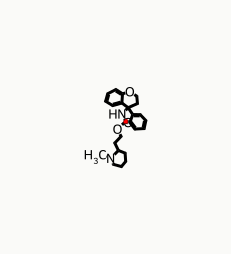 CN1CCCCC1CCOC(=O)NC1(c2ccccc2)CCOc2ccccc21